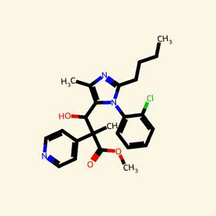 CCCCc1nc(C)c(C(O)C(C)(C(=O)OC)c2ccncc2)n1-c1ccccc1Cl